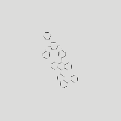 c1ccc(-c2cccc3ccc(-c4c5ccccc5c(-c5ccc6oc7cc(-c8ccccc8)c8oc9ccccc9c8c7c6c5)c5ccccc45)cc23)cc1